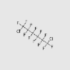 FC(F)(Cl)C(F)(F)C(F)(F)C(F)(F)C(F)(F)C(F)(F)Cl